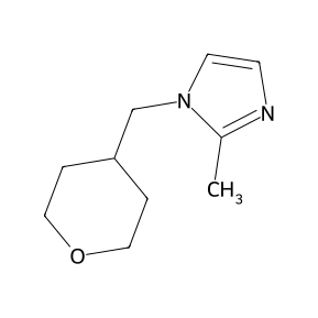 Cc1nccn1CC1CCOCC1